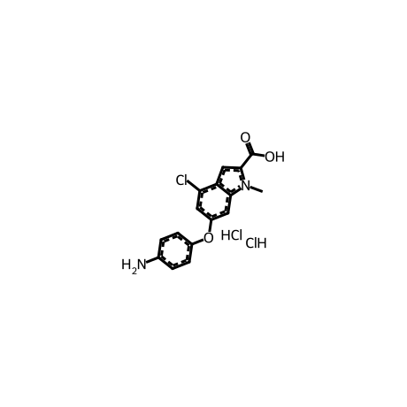 Cl.Cl.Cn1c(C(=O)O)cc2c(Cl)cc(Oc3ccc(N)cc3)cc21